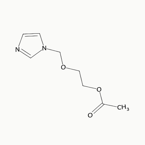 CC(=O)OCCOCn1ccnc1